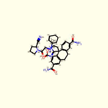 C[C@H](CC1(c2nc(=O)on2C2CCCCC2)c2ccc(C(N)=O)cc2CCc2cc(C(N)=O)ccc21)NCC(=O)N1CCCC1C#N